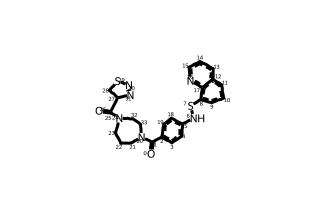 O=C(c1ccc(NSc2cccc3cccnc23)cc1)N1CCCN(C(=O)C2CSN=N2)CC1